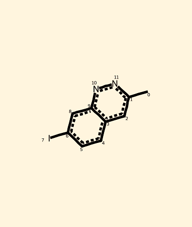 Cc1cc2ccc(I)cc2nn1